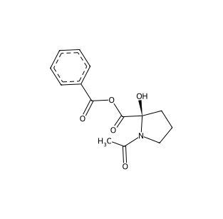 CC(=O)N1CCC[C@@]1(O)C(=O)OC(=O)c1ccccc1